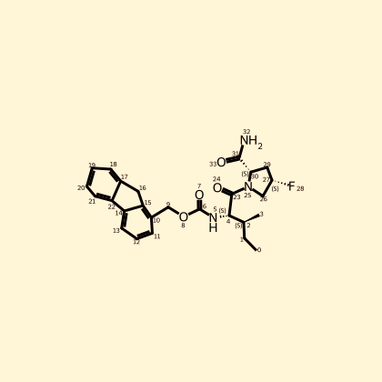 CC[C@H](C)[C@H](NC(=O)OCc1cccc2c1Cc1ccccc1-2)C(=O)N1C[C@@H](F)C[C@H]1C(N)=O